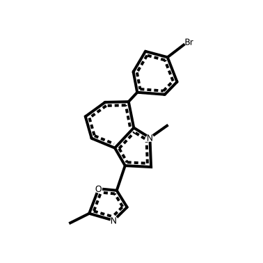 Cc1ncc(-c2cn(C)c3c(-c4ccc(Br)cc4)cccc23)o1